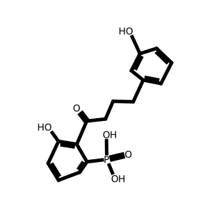 O=C(CCCc1cccc(O)c1)c1c(O)cccc1P(=O)(O)O